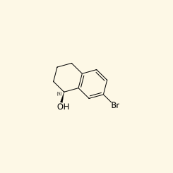 O[C@H]1CCCc2ccc(Br)cc21